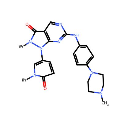 CC(C)n1cc(-n2c3nc(Nc4ccc(N5CCN(C)CC5)cc4)ncc3c(=O)n2C(C)C)ccc1=O